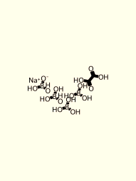 O=C(O)C(=O)O.OB(O)O.OB(O)O.OB(O)O.[Na+].[O-]B(O)O